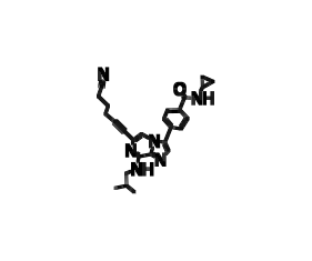 CC(C)CNc1nc(C#CCCCC#N)cn2c(-c3ccc(C(=O)NC4CC4)cc3)cnc12